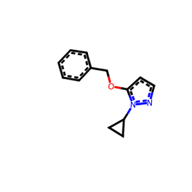 c1ccc(COc2ccnn2C2CC2)cc1